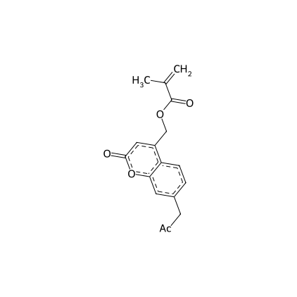 C=C(C)C(=O)OCc1cc(=O)oc2cc(CC(C)=O)ccc12